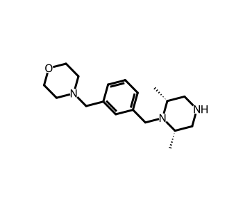 C[C@@H]1CNC[C@H](C)N1Cc1cccc(CN2CCOCC2)c1